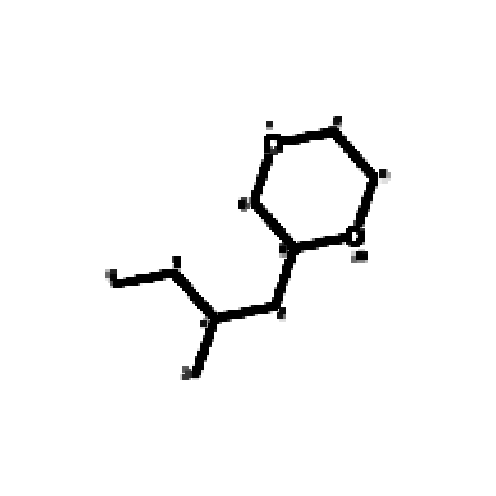 CCC(C)CC1COCCO1